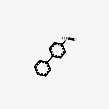 O=[PH2]c1ccc(-c2ccccc2)cc1